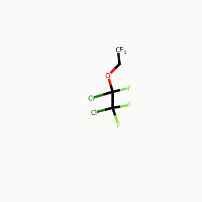 FC(F)(F)COC(F)(Cl)C(F)(F)Cl